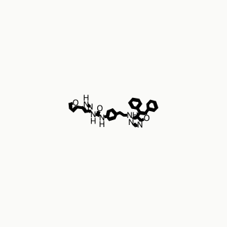 O=C(Nc1ccc(CCNc2ncnc3oc(C4=CC=CCC4)c(-c4ccccc4)c23)cc1)Nc1cc(-c2ccco2)[nH]n1